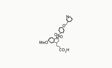 COc1ccc2c(c1)C(CCC(=O)O)CN2S(=O)(=O)c1ccc(OCc2cccnc2)cc1